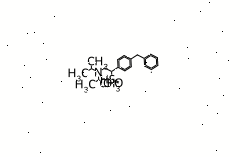 CC(C)N(CC(c1ccc(Cc2c[c]ccc2)cc1)[SH](=O)=O)C(C)C